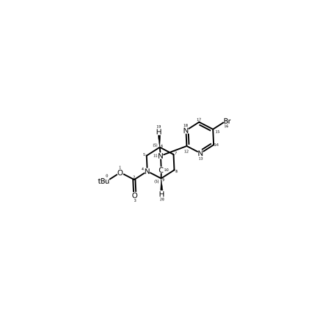 CC(C)(C)OC(=O)N1C[C@@H]2CC[C@H]1CN2c1ncc(Br)cn1